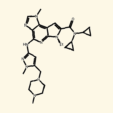 CCn1c(C(=O)N(C2CC2)C2CC2)cc2c3c(ncn3C)c(Nc3cc(CN4CCN(C)CC4)n(C)n3)nc21